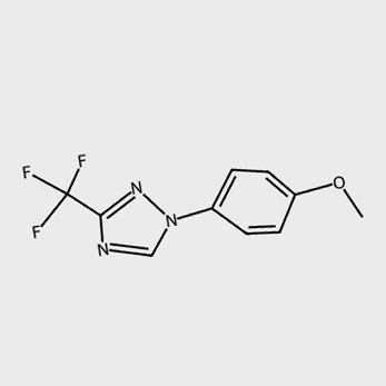 COc1ccc(-n2cnc(C(F)(F)F)n2)cc1